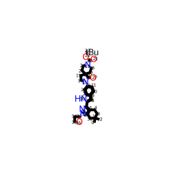 CC1(C)CCc2c(-c3cc4ccc(N5CCC6(CCN(C(=O)OC(C)(C)C)CC6)C5=O)cc4[nH]3)nn(C3CCO3)c2C1